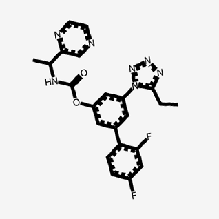 CCc1nnnn1-c1cc(OC(=O)NC(C)c2cnccn2)cc(-c2ccc(F)cc2F)c1